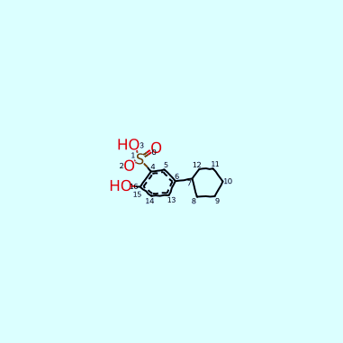 O=S(=O)(O)c1cc(C2CCCCC2)ccc1O